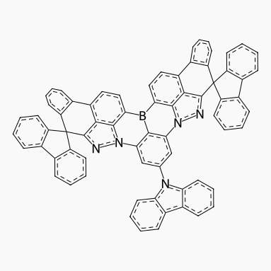 c1ccc2c(c1)-c1ccccc1C21c2ccccc2-c2ccc3c4c2c1nn4-c1cc(-n2c4ccccc4c4ccccc42)cc2c1B3c1ccc3c4c(nn-2c14)C1(c2ccccc2-c2ccccc21)c1ccccc1-3